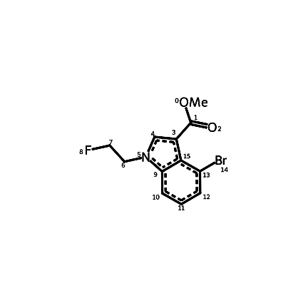 COC(=O)c1cn(CCF)c2cccc(Br)c12